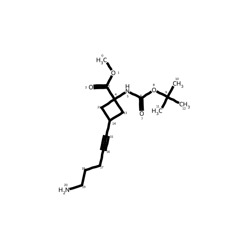 COC(=O)C1(NC(=O)OC(C)(C)C)CC(C#CCCCN)C1